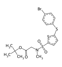 CN(CC(=O)OC(C)(C)C)S(=O)(=O)c1ccc(Sc2ccc(Br)cc2)s1